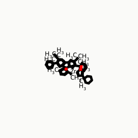 C/[C](c1ccc(C)cc1)=[Zr](\[C]1=CC(C2(C)CCCCC2)=CC1C)[c]1c2c(cc(C(C)(C)C)c1-c1ccccc1)-c1cc(C(C)(C)C)c(-c3ccccc3)cc1C2